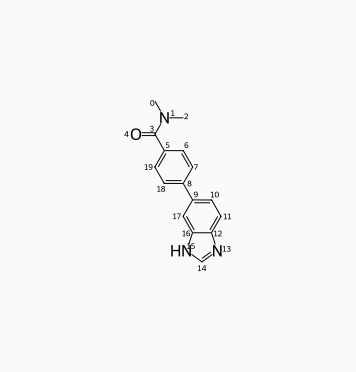 CN(C)C(=O)c1ccc(-c2ccc3nc[nH]c3c2)cc1